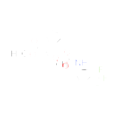 CO/C=C(/C(=O)OC)c1ccccc1COC(=O)Nc1cccc(C(F)(F)F)c1